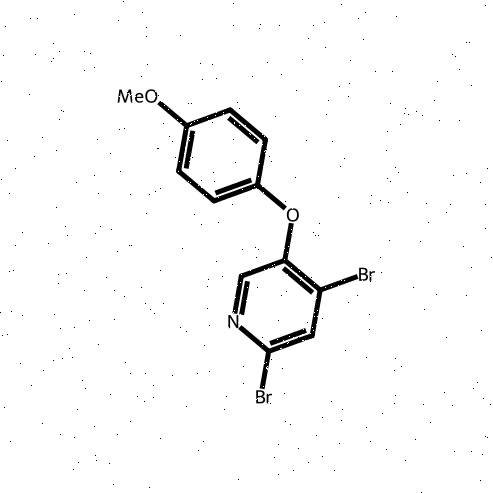 COc1ccc(Oc2cnc(Br)cc2Br)cc1